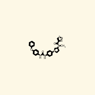 CN(C(=O)c1csnn1)C1CCN(c2ccc(NC(=O)Nc3ccc(Oc4ccccc4)cc3)cc2)C1